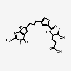 Nc1nc2[nH]c(CCCc3csc(C(=O)NC(CCC(=O)O)C(=O)O)c3)cc2c(=O)[nH]1